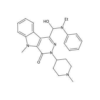 CCN(c1ccccc1)C(O)c1nn(C2CCN(C)CC2)c(=O)c2c1c1ccccc1n2C